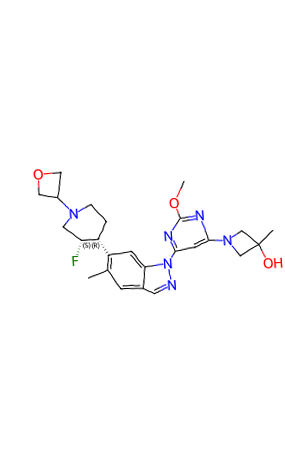 COc1nc(N2CC(C)(O)C2)cc(-n2ncc3cc(C)c([C@H]4CCN(C5COC5)C[C@H]4F)cc32)n1